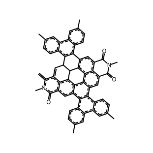 C=c1c2c3c4c5c(cc3c(=O)n1C)c1c3ccc(C)cc3c3cc(C)ccc3c1c1cc3c6c(cc7c(c6c15)C4C(C=2)c1c-7c2ccc(C)cc2c2cc(C)ccc12)C(=O)N(C)C3=O